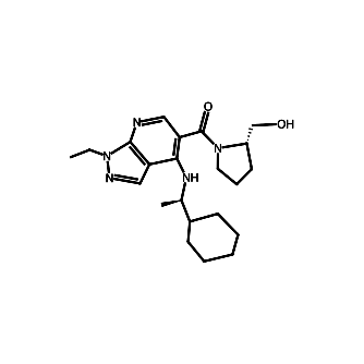 CCn1ncc2c(N[C@H](C)C3CCCCC3)c(C(=O)N3CCC[C@H]3CO)cnc21